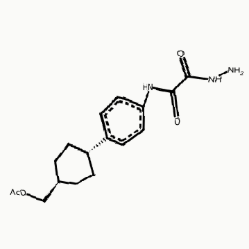 CC(=O)OC[C@H]1CC[C@H](c2ccc(NC(=O)C(=O)NN)cc2)CC1